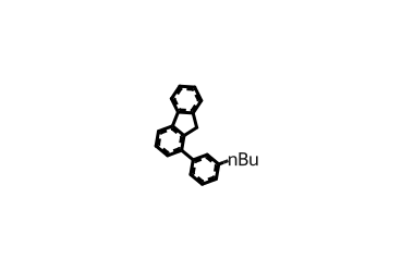 CCCCc1cccc(-c2cccc3c2Cc2ccccc2-3)c1